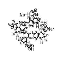 CC1(C)C=C(CS(=O)(=O)O)c2cc(Cc3ccc4c(c3)C(CS(=O)(=O)O)=CC(C)(C)N4)ccc2N1.CC1(C)C=C(CS(=O)(=O)[O-])c2c(ccc(Cc3ccc4c(c3N)C(CS(=O)(=O)[O-])=CC(C)(C)N4)c2N)N1.[Na+].[Na+]